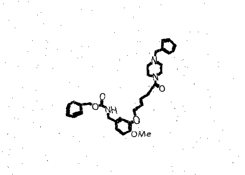 COc1ccc(CNC(=O)OCc2ccccc2)cc1OCCCCCC(=O)N1CCN(Cc2ccccc2)CC1